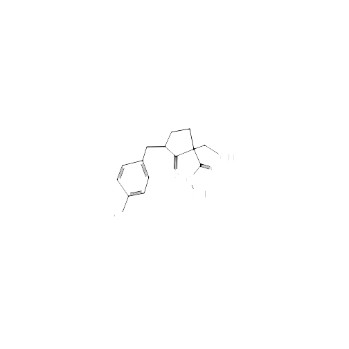 COC(=O)C1(CO)CCC(Cc2ccc(Cl)cc2)C1=O